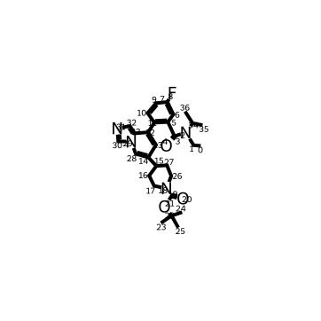 CCN(C(=O)c1cc(F)ccc1-c1cc(C2CCN(C(=O)OC(C)(C)C)CC2)cn2cncc12)C(C)C